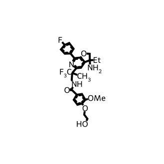 CCC1(N)COc2c1cc(C(C)(CNC(=O)c1ccc(OCCO)c(OC)c1)C(F)(F)F)nc2-c1ccc(F)cc1